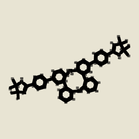 CC1(C)N=C(c2ccc(-c3ccc4c(c3)-c3ccccc3Bc3ccccc3-c3cc(-c5ccc(C6=NC(C)(C)C(C)(C)O6)cc5)ccc3N4)cc2)OC1(C)C